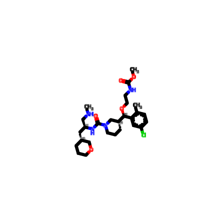 CNC[C@H](C[C@H]1CCCOC1)NC(=O)N1CCC[C@@H]([C@@H](OCCNC(=O)OC)c2cc(Cl)ccc2C)C1